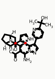 CC(=O)c1c(C2C[C@H]3CC[C@@H](C2)N3C(=O)c2cc[nH]n2)nc2c(-c3ccc(C(C)(C)O)nc3)cnn2c1N